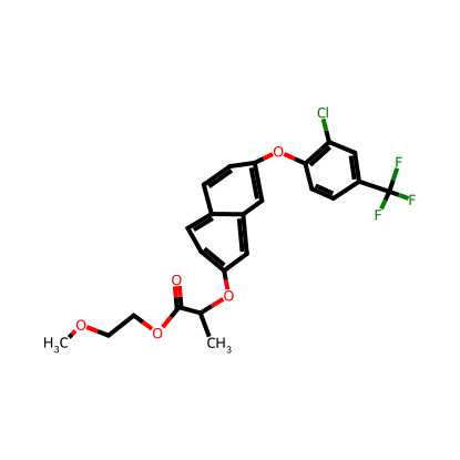 COCCOC(=O)C(C)Oc1ccc2ccc(Oc3ccc(C(F)(F)F)cc3Cl)cc2c1